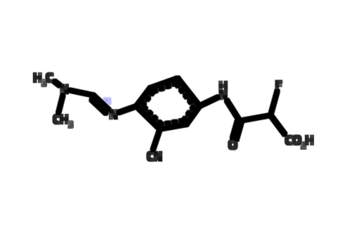 CN(C)/C=N/c1ccc(NC(=O)C(F)C(=O)O)cc1C#N